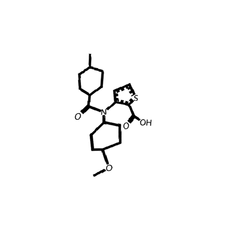 COC1CCC(N(C(=O)C2CCC(C)CC2)c2ccsc2C(=O)O)CC1